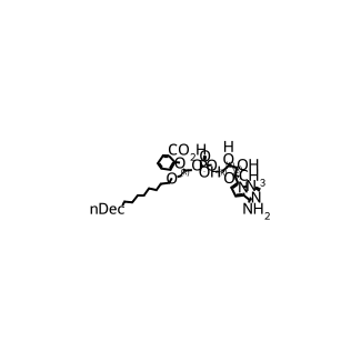 CCCCCCCCCCCCCCCCCCOC[C@H](COP(=O)(O)OC[C@H]1O[C@@](C)(c2ccc3c(N)ncnn23)[C@H](O)[C@@H]1O)Oc1ccccc1C(=O)O